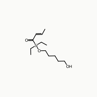 CC=CC(=O)[Si](CC)(CC)OCCCCCO